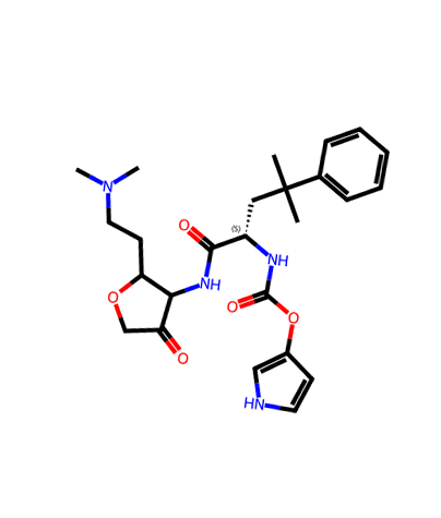 CN(C)CCC1OCC(=O)C1NC(=O)[C@H](CC(C)(C)c1ccccc1)NC(=O)Oc1cc[nH]c1